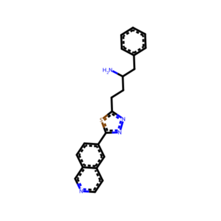 NC(CCc1nnc(-c2ccc3cnccc3c2)s1)Cc1ccccc1